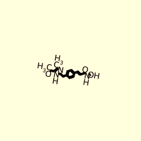 CC(=O)c1[nH]c(Cc2ccc(/C=C/C(=O)NO)cc2)nc1C